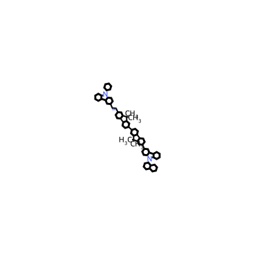 CC1(C)c2cc(/C=C/c3ccc4c(c3)c3ccccc3n4-c3ccccc3)ccc2-c2ccc(-c3ccc4c(c3)C(C)(C)c3cc(-c5ccc6c(c5)c5ccccc5n6-c5cccc6ccccc56)ccc3-4)cc21